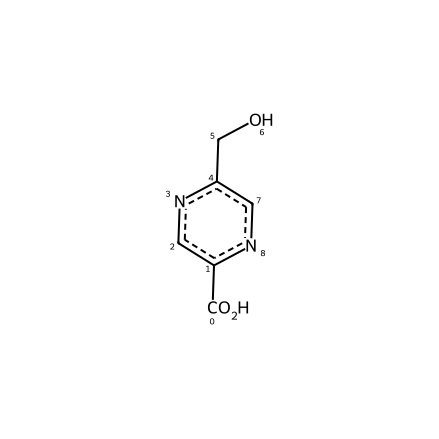 O=C(O)c1cnc(CO)cn1